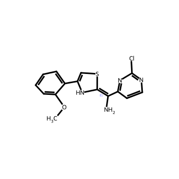 COc1ccccc1C1=CS/C(=C(/N)c2ccnc(Cl)n2)N1